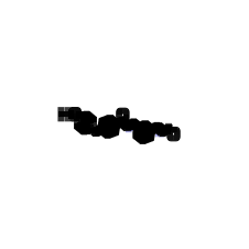 O=[C]/C=C/c1cccc(/C=C/C(=O)c2ccc(CN3CCN(O)CC3)cc2)c1